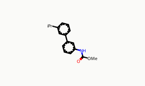 COC(=O)Nc1cccc(-c2cccc(C(C)C)c2)c1